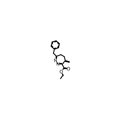 C=C1CCC(Cc2ccccc2)=NN=C1C(=O)OCC